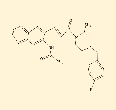 CC1CN(Cc2ccc(F)cc2)CCN1C(=O)/C=C/c1cc2ccccc2cc1NC(N)=O